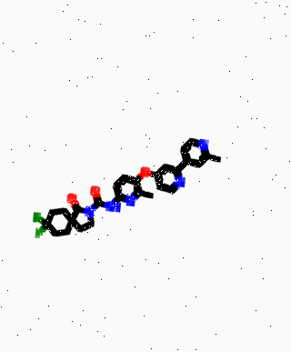 Cc1cc(-c2cc(Oc3ccc(NC(=O)N4CCC5(CCC(F)(F)CC5)C4=O)nc3C)ccn2)ccn1